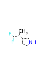 CC(C(F)F)C1CCNC1